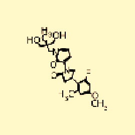 COc1cc(C)c([C@H]2CC(=O)N(c3cccn(CC(C)(CO)CO)c3=O)C2)c(F)c1